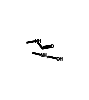 CN.CNC=O.CO